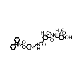 CCN(NCc1ccc(O)c(OC)c1)C(=O)c1cccc(C(=O)CNCCN2CCC(OC(=O)Nc3ccccc3-c3ccccc3)CC2)c1